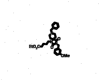 CCOC(=O)CCCCN1C(=O)N(Cc2cccc(OC)c2)C(=O)C12CCN(Cc1ccccc1)CC2